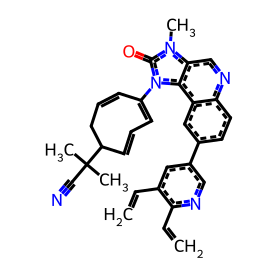 C=Cc1cc(-c2ccc3ncc4c(c3c2)n(C2=C/C=C/C(C(C)(C)C#N)C/C=C\2)c(=O)n4C)cnc1C=C